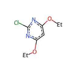 CCOc1cc(OCC)nc(Cl)n1